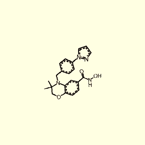 CC1(C)COc2ccc(C(=O)NO)cc2N1Cc1ccc(-n2cccn2)cc1